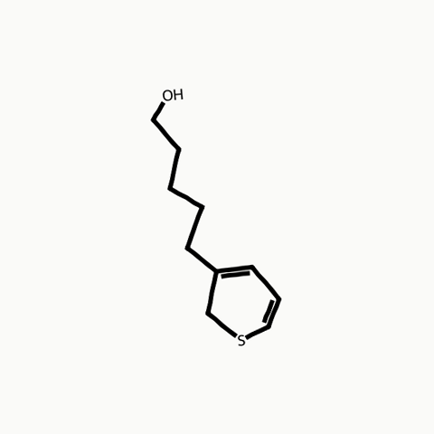 OCCCCCC1=CC=CSC1